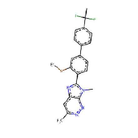 CCSc1cc(-c2ccc(C(C)(F)F)cc2)ccc1-c1nc2cc(C(F)(F)F)nnc2n1C